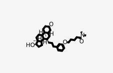 CN(C)C(=O)CCCCOc1cccc(CCC[C@@H]2C[C@H]3CC(=O)CC[C@]3(C)[C@H]3CC[C@]4(C)[C@@H](O)CC[C@H]4[C@H]23)c1